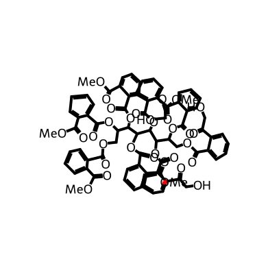 COC(=O)c1ccccc1C(=O)OCC(OC(=O)c1ccccc1C(=O)OC)C(OC(=O)c1ccccc1C(=O)OC)C(OC(=O)c1ccccc1C(=O)OC)C(OC(=O)c1ccccc1C(=O)OC)C(OC(=O)c1ccccc1C(=O)CO)C(COC(=O)c1ccccc1C(=O)CO)OC(=O)c1ccccc1C(=O)CO